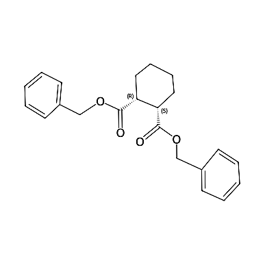 O=C(OCc1ccccc1)[C@H]1CCCC[C@H]1C(=O)OCc1ccccc1